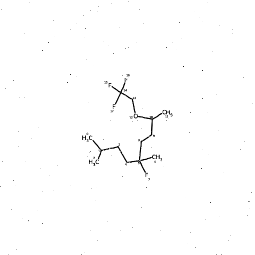 CC(C)CCC(C)(F)CCC(C)OCC(F)(F)F